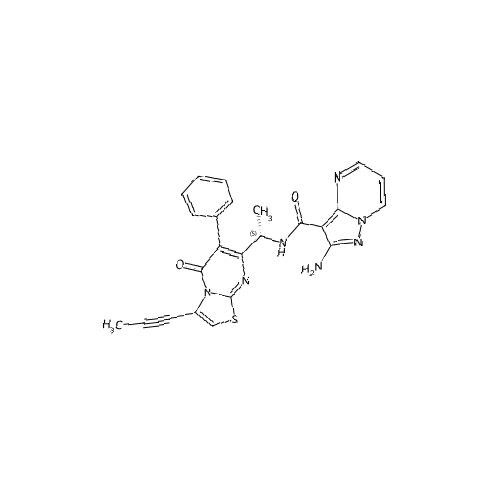 CC#Cc1csc2nc([C@H](C)NC(=O)c3c(N)nn4cccnc34)c(-c3ccccc3)c(=O)n12